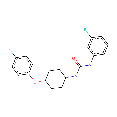 O=C(Nc1cccc(F)c1)N[C@H]1CC[C@@H](Oc2ccc(F)cc2)CC1